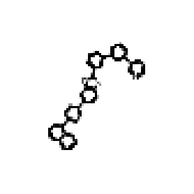 c1cncc(-c2cccc(-c3cccc(-c4nc5cc(-c6ccc(-c7cccc8ccccc78)cc6)ccc5s4)c3)c2)c1